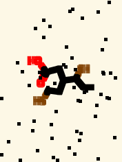 CCC(S)C(CCS)CC(=O)O